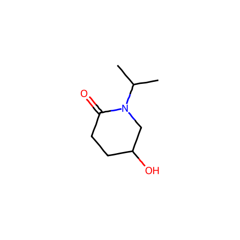 CC(C)N1CC(O)CCC1=O